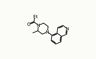 CCC(=O)N1CCN(c2cccc3cnccc23)CC1C